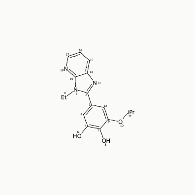 CCn1c(-c2cc(O)c(O)c(OC(C)C)c2)nc2cccnc21